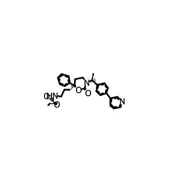 C[C@@H](c1ccc(-c2cccnc2)cc1)N1CC[C@](CCCNS(C)(=O)=O)(c2ccccc2)OC1=O